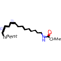 CCCCC/C=C\C/C=C\CCCCCCCCNC(=O)OC